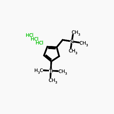 C[Si](C)(C)CC1=CC=[C]([Ti]([CH3])([CH3])[CH3])C1.Cl.Cl.Cl